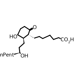 CCCCC[C@H](O)CC[C@H]1[C@H](O)CCC(=O)[C@@H]1CCCCCCC(=O)O